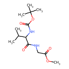 COC(=O)CNC(=O)C(NC(=O)OC(C)(C)C)C(C)C